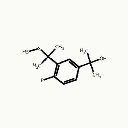 CC(C)(O)c1ccc(F)c(C(C)(C)SS)c1